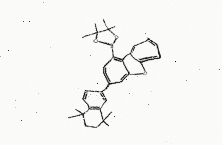 CC1(C)CCC(C)(C)c2cc(-c3cc(B4OC(C)(C)C(C)(C)O4)c4c(c3)oc3ccccc34)ccc21